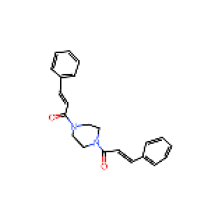 O=C(C=Cc1ccccc1)N1CCN(C(=O)C=Cc2ccccc2)CC1